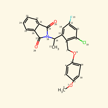 COc1ccc(OCc2c(Cl)cc(F)cc2C(C)N2C(=O)c3ccccc3C2=O)cc1